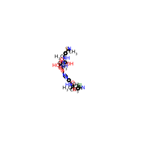 Cc1ncsc1-c1ccc([C@H](C)NC(=O)[C@@H]2C[C@@H](O)CN2C(=O)[C@@H](NC(=O)COCCN2CCN(c3ccc(C(=O)NC4C(C)(C)C(Oc5ccc(C#N)c(Cl)c5)C4(C)C)cc3)CC2)C(C)(C)O)cc1